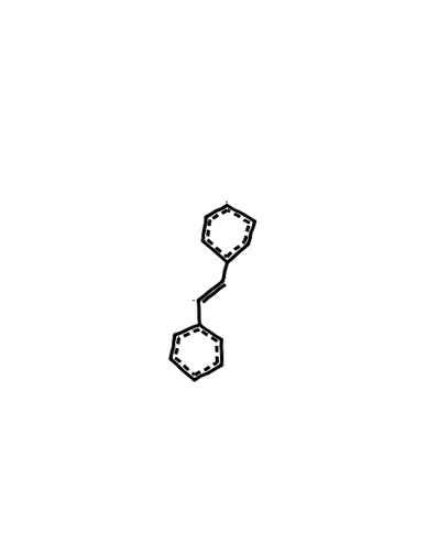 [C](=Cc1cc[c]cc1)c1ccccc1